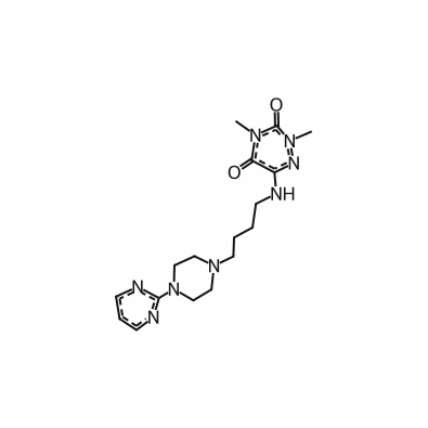 Cn1nc(NCCCCN2CCN(c3ncccn3)CC2)c(=O)n(C)c1=O